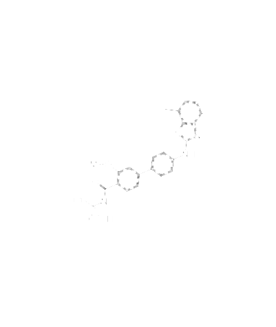 COc1cc(-c2ccc(Nc3nc4cccc(Cl)c4s3)cc2)ccc1C(=O)N[C@H](C(=O)O)C(C)C